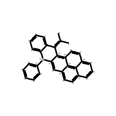 CC(C)=C1c2ccccc2B(c2ccccc2)c2cc3ccc4cccc5ccc(c21)c3c45